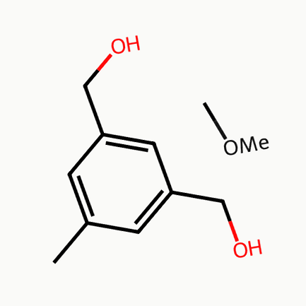 COC.Cc1cc(CO)cc(CO)c1